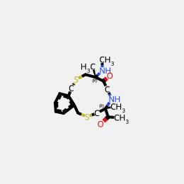 CN[C@@]1(C)CSCc2ccccc2CSC[C@@](C)(C(C)=O)NCC1=O